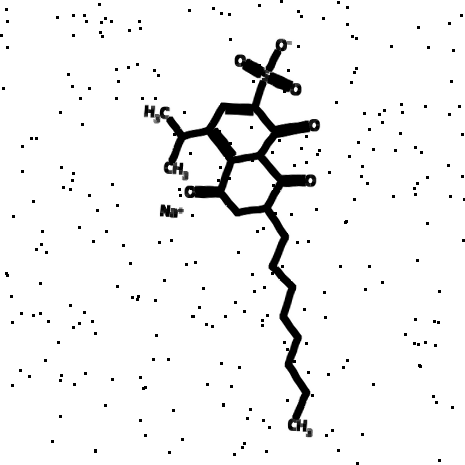 CCCCCCCCC1CC(=O)C2=C(C(C)C)C=C(S(=O)(=O)[O-])C(=O)C2C1=O.[Na+]